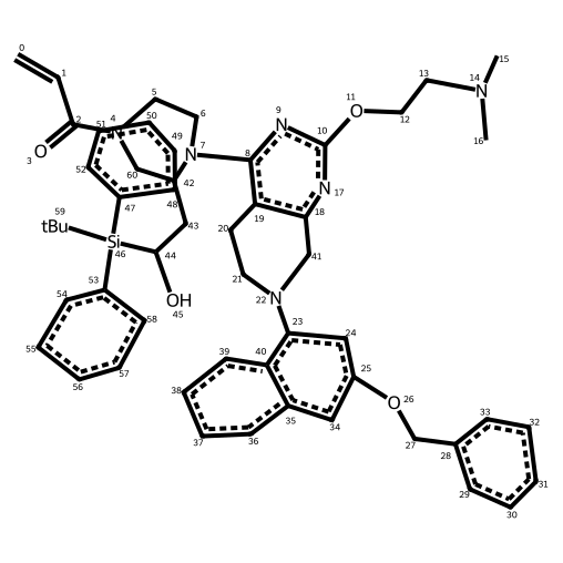 C=CC(=O)N1CCN(c2nc(OCCN(C)C)nc3c2CCN(c2cc(OCc4ccccc4)cc4ccccc24)C3)C(CC(O)[Si](c2ccccc2)(c2ccccc2)C(C)(C)C)C1